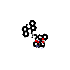 CC1=C/CC/C=C(C2=NC(C(Cc3ccccc3)(Cc3ccccc3)CP(C)Cc3ccc4ccccc4c3-c3c(C)ccc4ccccc34)CO2)/C=C\1